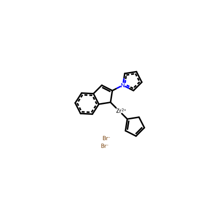 C1=CC[C]([Zr+2][CH]2C(n3cccc3)=Cc3ccccc32)=C1.[Br-].[Br-]